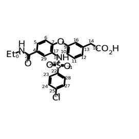 CCNC(=O)c1ccc(Oc2cccc(CC(=O)O)c2)c(NS(=O)(=O)c2ccc(Cl)cc2)c1